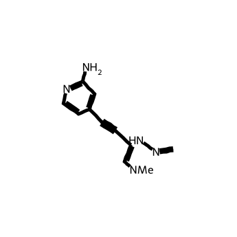 C=NN/C(C#Cc1ccnc(N)c1)=C\NC